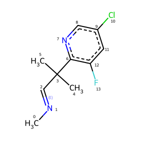 C/N=C/C(C)(C)c1ncc(Cl)cc1F